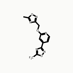 Cc1nc(COc2cc(-c3noc(C(F)(F)F)n3)ccn2)no1